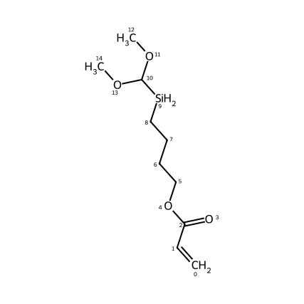 C=CC(=O)OCCCC[SiH2]C(OC)OC